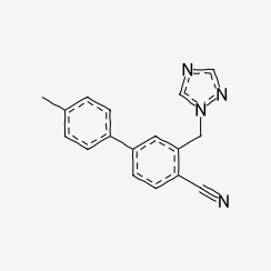 Cc1ccc(-c2ccc(C#N)c(Cn3cncn3)c2)cc1